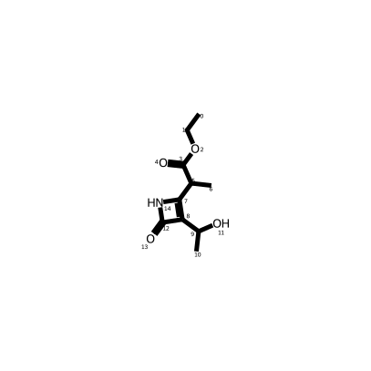 CCOC(=O)C(C)C1=C(C(C)O)C(=O)N1